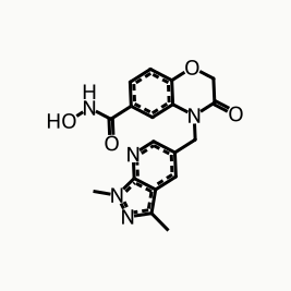 Cc1nn(C)c2ncc(CN3C(=O)COc4ccc(C(=O)NO)cc43)cc12